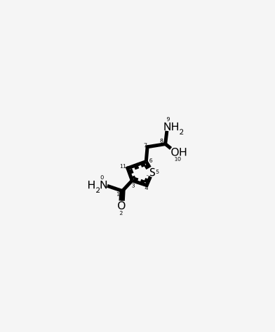 NC(=O)c1csc(CC(N)O)c1